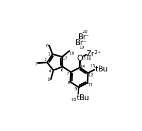 CC1=C(C)C(C)C(c2cc(C(C)(C)C)cc(C(C)(C)C)c2[O][Zr+2])=C1C.[Br-].[Br-]